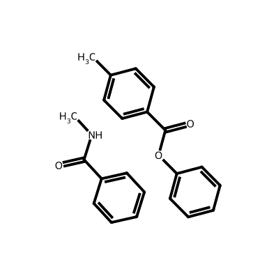 CNC(=O)c1ccccc1.Cc1ccc(C(=O)Oc2ccccc2)cc1